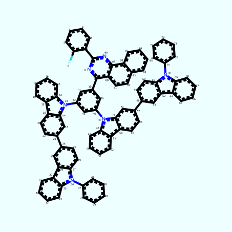 Fc1ccccc1-c1nc(-c2cc(-n3c4ccccc4c4ccc(-c5ccc6c(c5)c5ccccc5n6-c5ccccc5)cc43)cc(-n3c4ccccc4c4ccc(-c5ccc6c(c5)c5ccccc5n6-c5ccccc5)cc43)c2)c2ccc3ccccc3c2n1